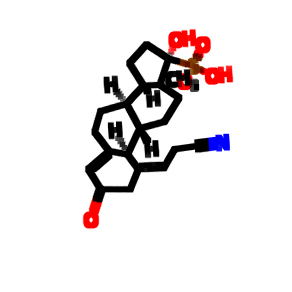 C[C@]12CC[C@H]3[C@@H](CCC4=CC(=O)C/C(=C/CC#N)[C@@H]43)[C@@H]1CC[C@@]2(O)S(=O)(=O)O